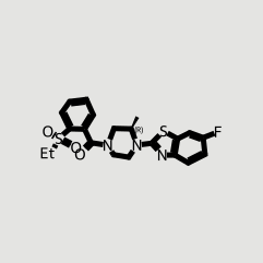 CCS(=O)(=O)c1ccccc1C(=O)N1CCN(c2nc3ccc(F)cc3s2)[C@H](C)C1